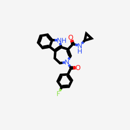 O=C(NC1CC1)C1=CN(C(=O)c2ccc(F)cc2)CCc2c1[nH]c1ccccc21